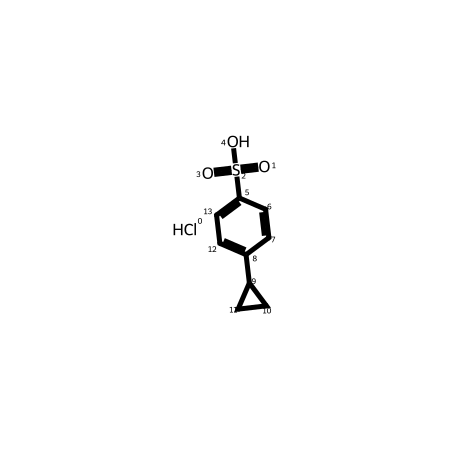 Cl.O=S(=O)(O)c1ccc(C2CC2)cc1